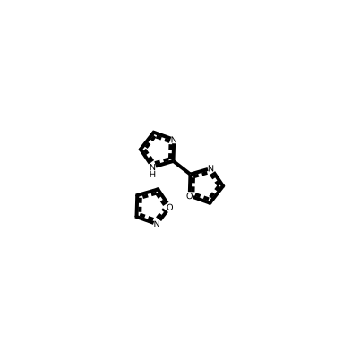 c1c[nH]c(-c2ncco2)n1.c1cnoc1